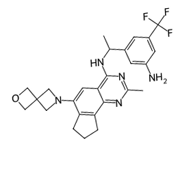 Cc1nc(NC(C)c2cc(N)cc(C(F)(F)F)c2)c2cc(N3CC4(COC4)C3)c3c(c2n1)CCC3